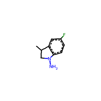 CC1CN(N)c2ccc(F)cc21